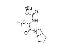 CC(NC(=O)OC(C)(C)C)C(=O)N1CC2CCCC21